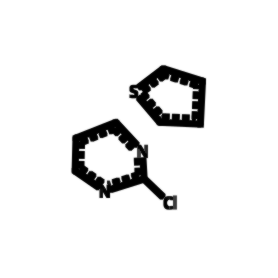 Clc1ncccn1.c1ccsc1